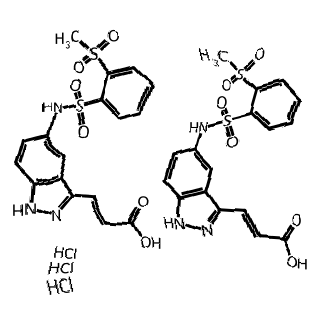 CS(=O)(=O)c1ccccc1S(=O)(=O)Nc1ccc2[nH]nc(C=CC(=O)O)c2c1.CS(=O)(=O)c1ccccc1S(=O)(=O)Nc1ccc2[nH]nc(C=CC(=O)O)c2c1.Cl.Cl.Cl